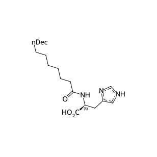 CCCCCCCCCCCCCCCCC(=O)N[C@@H](Cc1c[nH]cn1)C(=O)O